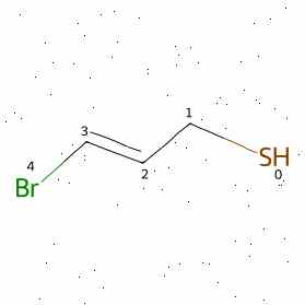 SCC=CBr